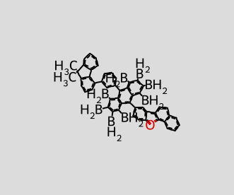 Bc1c(B)c(B)c2c(-c3ccc4oc5c6ccccc6ccc5c4c3)c3c(B)c(B)c(B)c(B)c3c(-c3cccc(-c4cccc5c4-c4ccccc4C5(C)C)c3)c2c1B